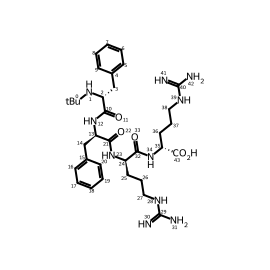 CC(C)(C)N[C@H](Cc1ccccc1)C(=O)N[C@H](Cc1ccccc1)C(=O)N[C@H](CCCNC(=N)N)C(=O)N[C@H](CCCNC(=N)N)C(=O)O